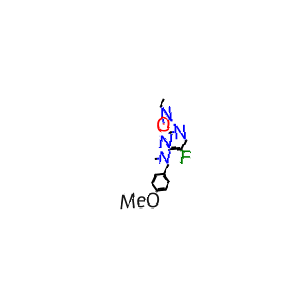 CC=NOc1ncc(F)c(N(C)Cc2ccc(OC)cc2)n1